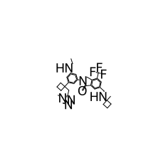 CCNc1cc(N2Cc3c(cc(CNC4(C)CCC4)cc3C(F)(F)F)C2=O)cc(C2(Cc3nncn3C)CCC2)c1